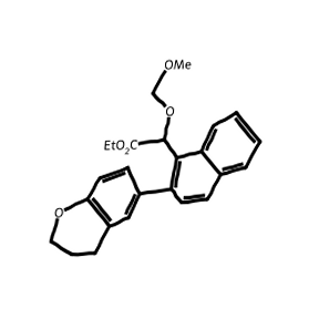 CCOC(=O)C(OCOC)c1c(-c2ccc3c(c2)CCCO3)ccc2ccccc12